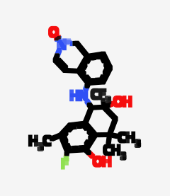 Cc1cc2c(c(O)c1F)C(C)(C)CC(O)(C(F)(F)F)C2Nc1cccc2c1C=C[N+](=O)C2